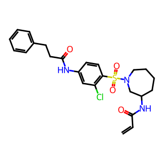 C=CC(=O)NC1CCCCN(S(=O)(=O)c2ccc(NC(=O)CCc3ccccc3)cc2Cl)C1